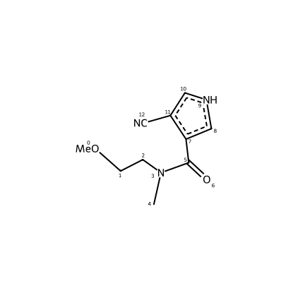 COCCN(C)C(=O)c1c[nH]cc1C#N